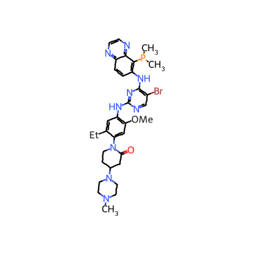 CCc1cc(Nc2ncc(Br)c(Nc3ccc4nccnc4c3P(C)C)n2)c(OC)cc1N1CCC(N2CCN(C)CC2)CC1=O